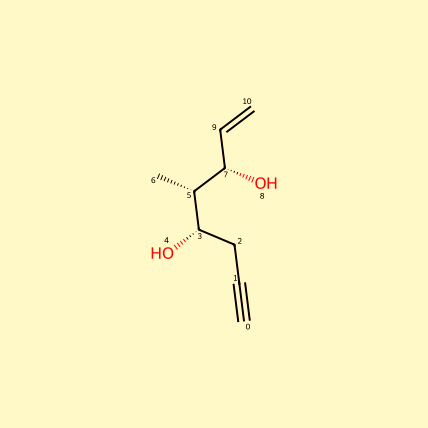 C#CC[C@H](O)[C@H](C)[C@@H](O)C=C